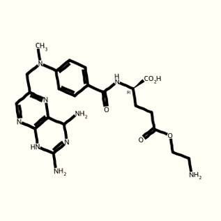 CN(Cc1cnc2c(n1)C(N)N=C(N)N2)c1ccc(C(=O)N[C@H](CCC(=O)OCCN)C(=O)O)cc1